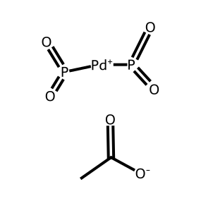 CC(=O)[O-].O=[P](=O)[Pd+][P](=O)=O